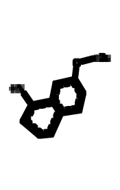 CCCCOc1ccc2cccc([NH])c2c1